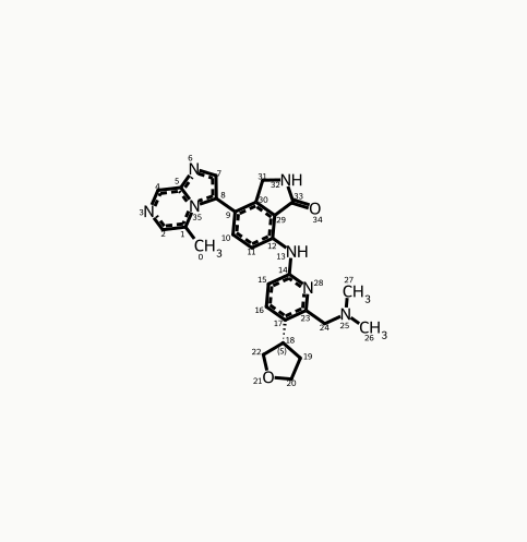 Cc1cncc2ncc(-c3ccc(Nc4ccc([C@@H]5CCOC5)c(CN(C)C)n4)c4c3CNC4=O)n12